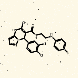 CC1=C(C(=O)NCCNc2ccc(F)cc2)C(c2ccc(Cl)c(Cl)c2)n2nccc2N1